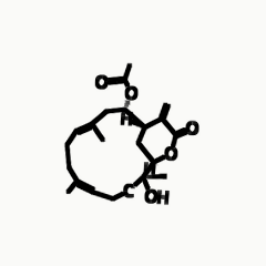 C=C1C(=O)O[C@H]2C[C@@H]1[C@@H](OC(C)=O)C/C(C)=C/CC/C(C)=C\CC[C@@]2(C)O